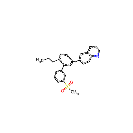 CCCc1ccc(-c2ccc3ncccc3c2)cc1-c1cccc(S(C)(=O)=O)c1